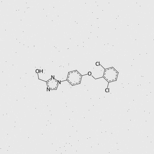 OCc1ncn(-c2ccc(OCc3c(Cl)cccc3Cl)cc2)n1